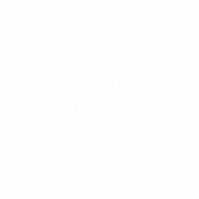 CN1CCCCC1C(=O)NCC1=CCC=C(Cl)C=C1